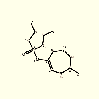 CCOP(=O)(OCC)OC1=CSC(C)CSC1